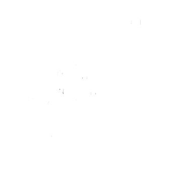 Cc1ccc(S(=O)(=O)ON2C(=O)C3C4C=CC(C4)C3C2=O)cc1